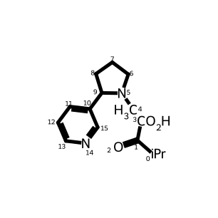 CC(C)C(=O)C(=O)O.CN1CCCC1c1cccnc1